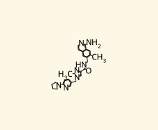 Cc1cc2c(N)nccc2cc1CNC(=O)c1cn(Cc2ccc(N3CCCC3)nc2)c(C)n1